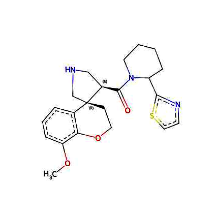 COc1cccc2c1OCC[C@]21CNC[C@H]1C(=O)N1CCCCC1c1nccs1